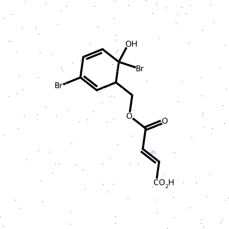 O=C(O)/C=C/C(=O)OCC1C=C(Br)C=CC1(O)Br